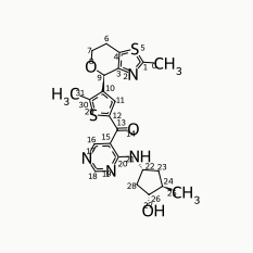 Cc1nc2c(s1)CCO[C@@H]2c1cc(C(=O)c2cncnc2N[C@@H]2C[C@@H](C)[C@H](O)C2)sc1C